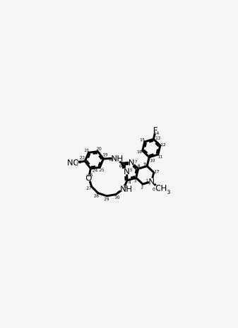 CN1Cc2c3nc(nc2C(c2ccc(F)cc2)C1)Nc1ccc(C#N)c(c1)OCCCCN3